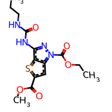 CCCNC(=O)Nc1nn(C(=O)OCC)c2cc(C(=O)OC)sc12